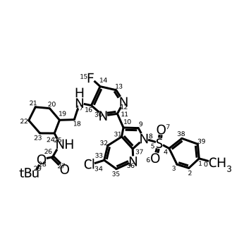 Cc1ccc(S(=O)(=O)n2cc(-c3ncc(F)c(NCC4CCCCC4NC(=O)OC(C)(C)C)n3)c3cc(Cl)cnc32)cc1